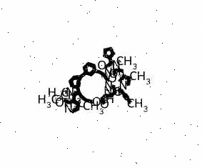 CC#CC(=O)N1C[C@@H](CC(=O)N(C)[C@H](C(=O)N[C@H]2Cc3cccc(c3)-c3ccc4c(c3)c(c(-c3cccnc3[C@H](C)OC)n4C)CC(C)(C)COC(=O)[C@@H]3CCCN(N3)C2=O)C2CCCC2)[C@@H](C)C1